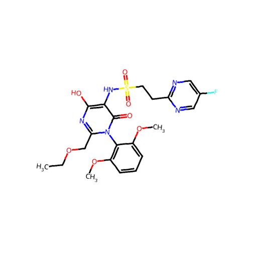 CCOCc1nc(O)c(NS(=O)(=O)CCc2ncc(F)cn2)c(=O)n1-c1c(OC)cccc1OC